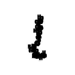 O=C1CCC(c2coc3c(NC(=O)CN4CCN(CC5CCC(n6cc(NC(=O)c7cnn8ccc(N9C[C@@H]%10C[C@H]9CO%10)nc78)c(C(F)F)n6)CC5)CC4)cccc23)C(=O)N1